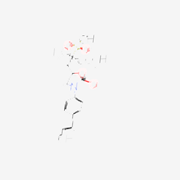 CC=Cc1ccc(N2CC(CC(C)(C(=O)O)S(C)(=O)=O)OC2=O)cc1